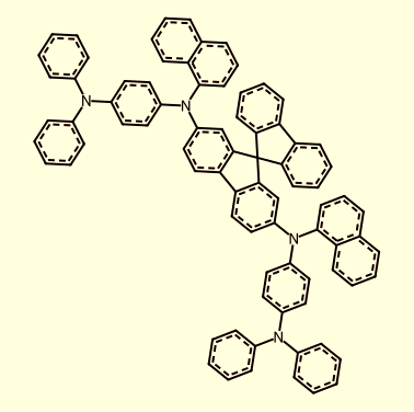 c1ccc(N(c2ccccc2)c2ccc(N(c3ccc4c(c3)C3(c5ccccc5-c5ccccc53)c3cc(N(c5ccc(N(c6ccccc6)c6ccccc6)cc5)c5cccc6ccccc56)ccc3-4)c3cccc4ccccc34)cc2)cc1